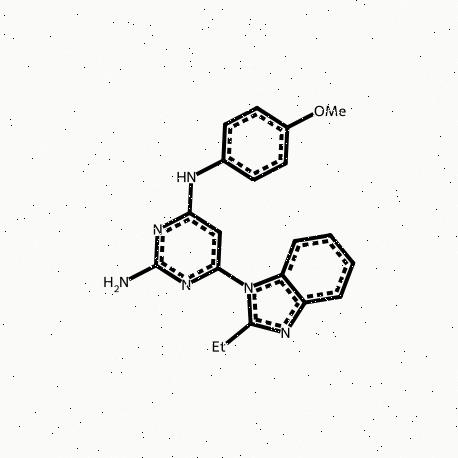 CCc1nc2ccccc2n1-c1cc(Nc2ccc(OC)cc2)nc(N)n1